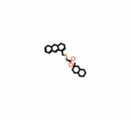 CC1(OC(=O)CSCC2=CCCC3CC4CC=CC=C4C=C23)CCC2CCCCC2C1